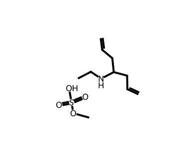 C=CCC(CC=C)NCC.COS(=O)(=O)O